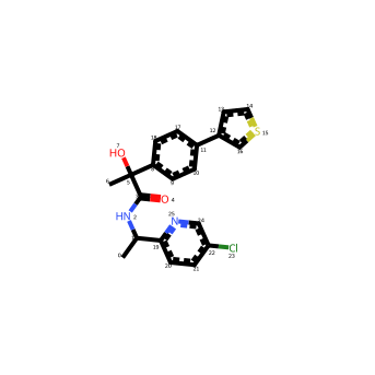 CC(NC(=O)C(C)(O)c1ccc(-c2ccsc2)cc1)c1ccc(Cl)cn1